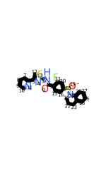 O=C(Nc1nc(-c2ccccn2)cs1)c1ccc([S+]([O-])N2CCCc3ccccc32)cc1F